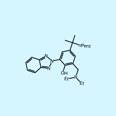 CCCCCC(C)(C)c1cc(CN(CC)CC)c(O)c(-n2nc3ccccc3n2)c1